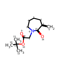 C=C1CCCCN(CC(=O)OC(C)(C)C)C1=O